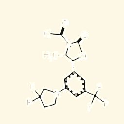 C[C@H]1[C@@H](c2cc(N3CCC(F)(F)C3)cc(C(F)(F)F)c2)OC(=O)N1C(=O)Cl